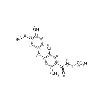 Cc1cc(Oc2ccc(O)c(CC(C)C)c2)c(Cl)cc1C(=O)NCC(=O)O